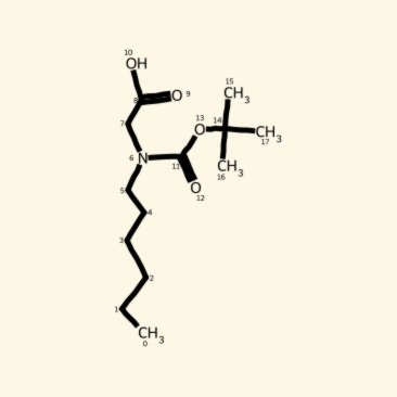 CCCCCCN(CC(=O)O)C(=O)OC(C)(C)C